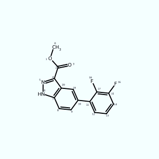 COC(=O)c1n[nH]c2ccc(-c3cccc(F)c3F)cc12